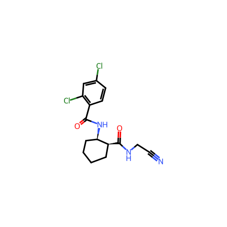 N#CCNC(=O)[C@H]1CCCC[C@H]1NC(=O)c1ccc(Cl)cc1Cl